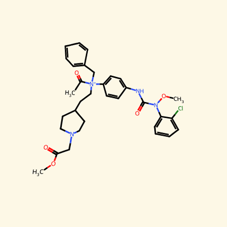 COC(=O)CN1CCC(CC[N+](Cc2ccccc2)(C(C)=O)c2ccc(NC(=O)N(OC)c3ccccc3Cl)cc2)CC1